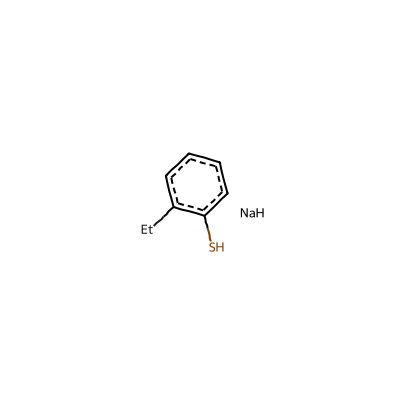 CCc1ccccc1S.[NaH]